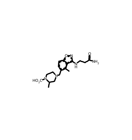 Cc1c(CN2CCN(C(=O)O)C(C)C2)ccc2onc(NCCC(N)=O)c12